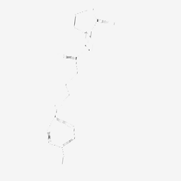 O=C(CCCOc1ccc(F)cc1)NN1CCOC1=O